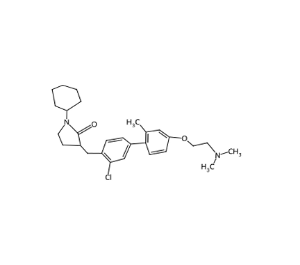 Cc1cc(OCCN(C)C)ccc1-c1ccc(CC2CCN(C3CCCCC3)C2=O)c(Cl)c1